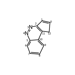 C1=Cc2nnc3ccccc3c2C1